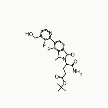 CC1c2c(ccc(-c3nccc(CO)c3F)c2F)C(=O)N1C(CCC(=O)OC(C)(C)C)C(N)=O